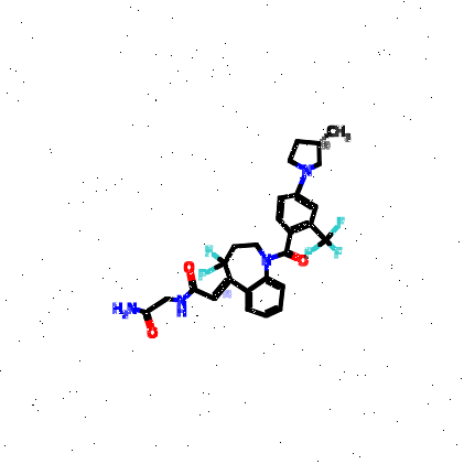 C[C@H]1CCN(c2ccc(C(=O)N3CCC(F)(F)/C(=C\C(=O)NCC(N)=O)c4ccccc43)c(C(F)(F)F)c2)C1